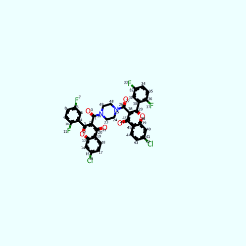 O=C(c1c(-c2cc(F)ccc2F)oc2cc(Cl)ccc2c1=O)N1CCN(C(=O)c2c(-c3cc(F)ccc3F)oc3cc(Cl)ccc3c2=O)CC1